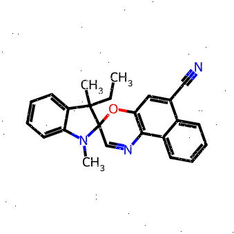 CCC1(C)c2ccccc2N(C)C12C=Nc1c(cc(C#N)c3ccccc13)O2